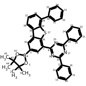 CC1(C)OB(c2cc(-c3nc(-c4ccccc4)nc(-c4ccccc4)n3)c3sc4c(-c5ccccc5)cccc4c3c2)OC1(C)C